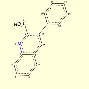 O=C(O)c1nc2ccccc2cc1-c1ccccc1